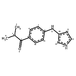 CN(C)C(=O)c1ccc(Nc2nc[nH]n2)cc1